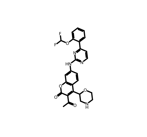 CC(=O)c1c(C2CNCCO2)c2ccc(Nc3nccc(-c4ccccc4OC(F)F)n3)cc2oc1=O